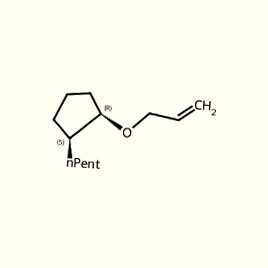 C=CCO[C@@H]1CCC[C@@H]1CCCCC